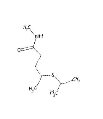 CNC(=O)CCC(C)SC(C)C